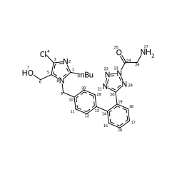 CCCCc1nc(Cl)c(CO)n1Cc1ccc(-c2ccccc2-c2nnn(C(=O)CN)n2)cc1